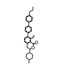 CCCc1ccc(-c2ccc(-c3ccc4c(c3F)C(=O)OC(C3CCC(C)CC3)C4)cc2)cc1